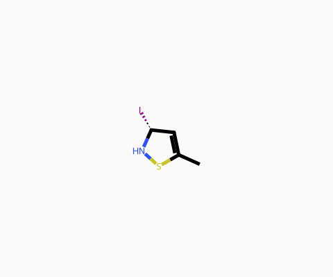 CC1=C[C@@H](I)NS1